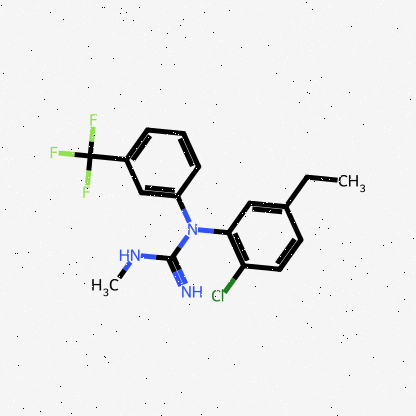 CCc1ccc(Cl)c(N(C(=N)NC)c2cccc(C(F)(F)F)c2)c1